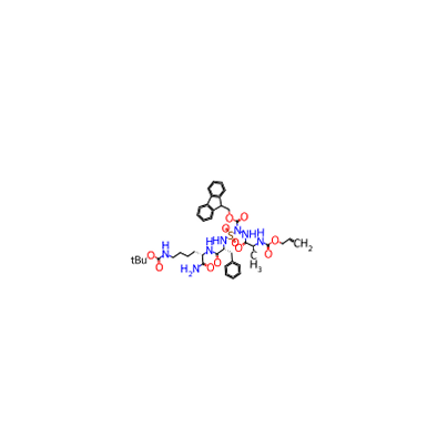 C=CCOC(=O)N[C@@H](C)C(=O)NN(C(=O)OCC1c2ccccc2-c2ccccc21)S(=O)(=O)N[C@H](Cc1ccccc1)C(=O)N[C@@H](CCCCNC(=O)OC(C)(C)C)C(N)=O